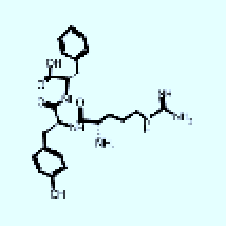 N=C(N)NCCC[C@H](N)C(=O)N[C@@H](Cc1ccc(O)cc1)C(=O)N[C@@H](Cc1ccccc1)C(=O)O